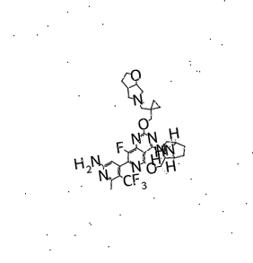 Cc1nc(N)cc(-c2nc3c4c(nc(OCC5(CN6CC7CCOC7C6)CC5)nc4c2F)N2C[C@H]4CC[C@H](N4)[C@H]2[C@H](C)O3)c1C(F)(F)F